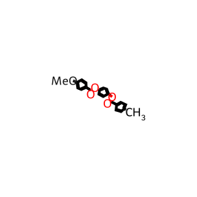 COc1ccc(C(=O)Oc2ccc(OC(=O)c3ccc(C)cc3)cc2)cc1